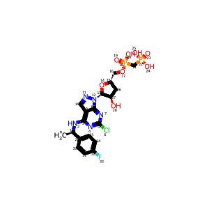 C[C@@H](Nc1nc(Cl)nc2c1cnn2[C@@H]1O[C@H](COP(=O)(O)CP(=O)(O)O)C[C@H]1O)c1ccc(F)cc1